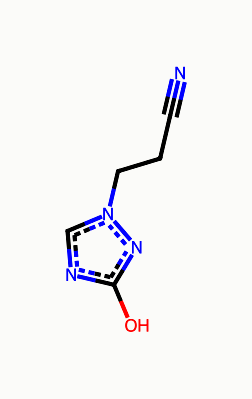 N#CCCn1cnc(O)n1